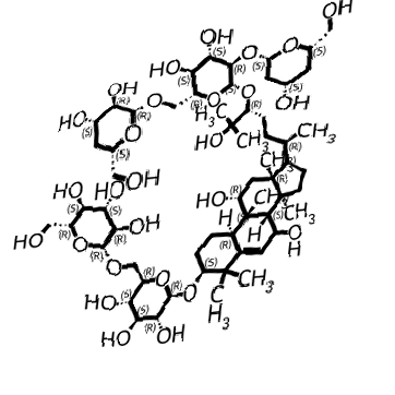 C[C@H](CC[C@@H](O[C@@H]1O[C@H](CO[C@@H]2O[C@H](CO)C[C@H](O)[C@H]2O)[C@@H](O)[C@H](O)[C@H]1O[C@H]1C[C@@H](O)C[C@@H](CO)O1)C(C)(C)O)[C@H]1CC[C@@]2(C)[C@@H]3C(O)C=C4[C@@H](CC[C@H](O[C@@H]5O[C@H](CO[C@@H]6O[C@H](CO)[C@@H](O)[C@H](O)[C@H]6O)[C@@H](O)[C@H](O)[C@H]5O)C4(C)C)[C@]3(C)[C@H](O)C[C@]12C